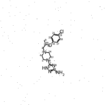 C[C@H](CN1CCN(c2nc(N)n[nH]2)CC1)Oc1ccc(Cl)cc1